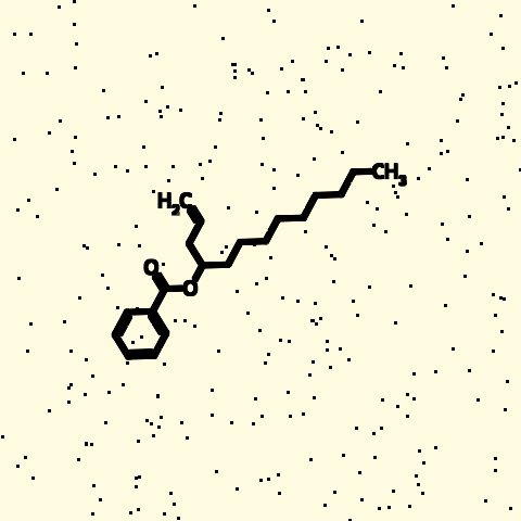 C=CCC(CCCCCCCCC)OC(=O)c1ccccc1